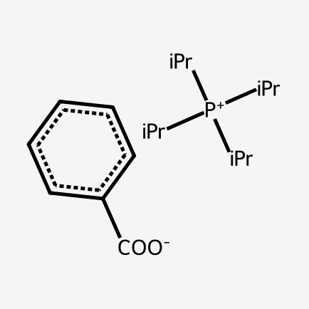 CC(C)[P+](C(C)C)(C(C)C)C(C)C.O=C([O-])c1ccccc1